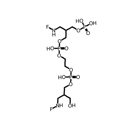 O=P(O)(O)OCC(CNF)COP(=O)(O)OCCOP(=O)(O)OCC(CO)CNF